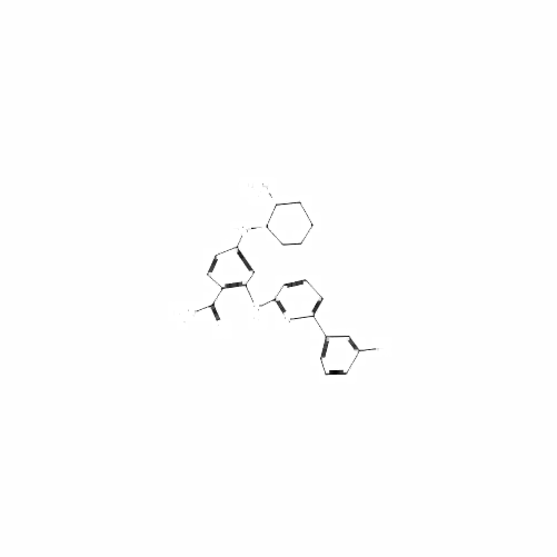 NC(=O)c1ccc(N[C@@H]2CCCC[C@@H]2N)cc1Nc1cccc(-c2cccc(F)c2)n1